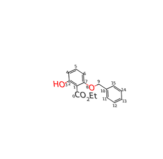 CCOC(=O)c1c(O)cccc1OCc1ccccc1